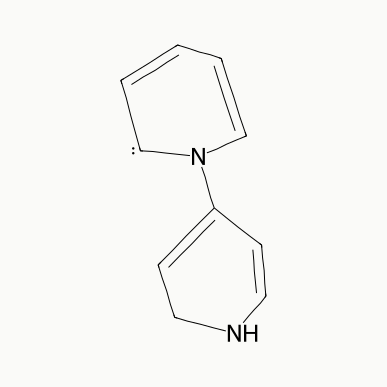 [C]1C=CC=CN1C1=CCNC=C1